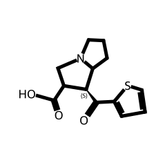 O=C(O)C1CN2CCCC2[C@H]1C(=O)c1cccs1